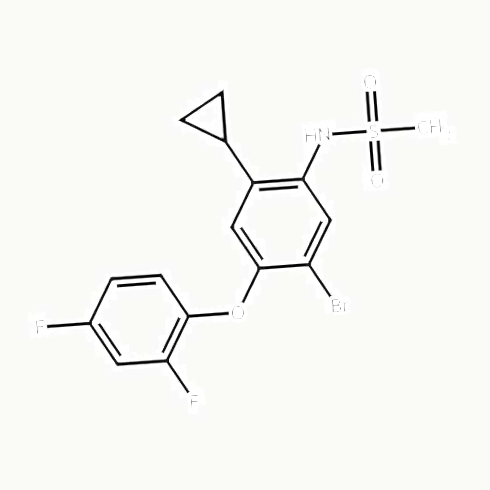 CS(=O)(=O)Nc1cc(Br)c(Oc2ccc(F)cc2F)cc1C1CC1